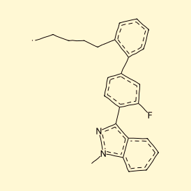 [CH2]CCCCc1ccccc1-c1ccc(-c2nn(C)c3ccccc23)c(F)c1